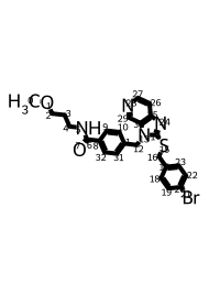 COCCCNC(=O)c1ccc(Cn2c(SCc3ccc(Br)cc3)nc3ccncc32)cc1